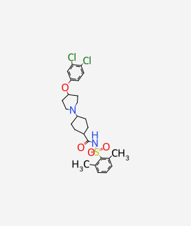 Cc1cccc(C)c1S(=O)(=O)NC(=O)C1CCC(N2CCC(Oc3ccc(Cl)c(Cl)c3)CC2)CC1